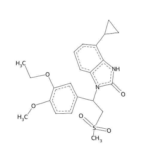 CCOc1cc(C(CS(C)(=O)=O)n2c(=O)[nH]c3c(C4CC4)cccc32)ccc1OC